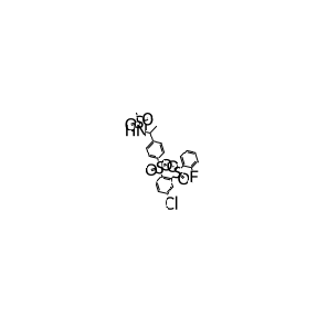 CC(NS(C)(=O)=O)c1ccc(S(=O)(=O)c2ccc(Cl)cc2S(=O)(=O)c2ccccc2F)cc1